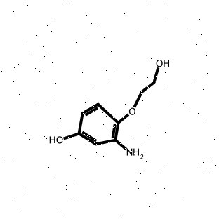 Nc1cc(O)ccc1OCCO